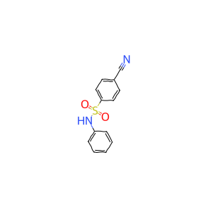 N#Cc1ccc(S(=O)(=O)Nc2ccccc2)cc1